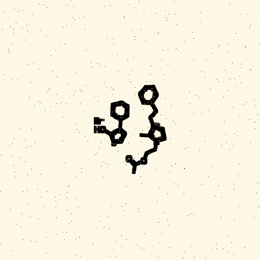 CC(=O)OCCn1cc[n+](CCc2ccccc2)c1C.Oc1sccc1-c1ccccc1.[Br-]